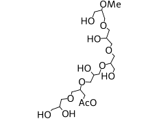 COC(CO)COCC(O)COCC(CO)OCC(O)COC(COCC(O)CO)COC(C)=O